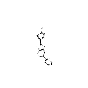 COc1ccc(-c2nc3c(o2)CCC(c2ccccn2)C3)cc1